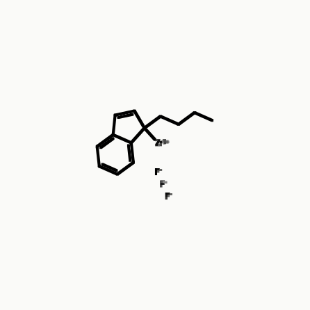 CCCC[C]1([Zr+3])C=Cc2ccccc21.[F-].[F-].[F-]